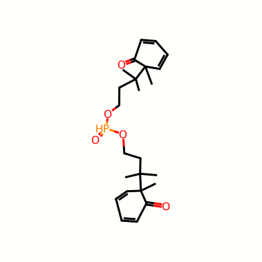 CC(C)(CCO[PH](=O)OCCC(C)(C)C1(C)C=CC=CC1=O)C1(C)C=CC=CC1=O